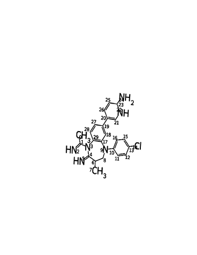 CC(=N)N1C(=N)C(C)CN(c2ccc(Cl)cc2)c2cc(C3=CNC(N)C=C3)ccc21